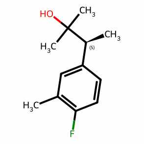 Cc1cc([C@H](C)C(C)(C)O)ccc1F